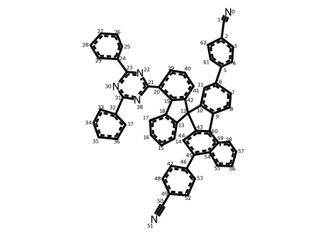 N#Cc1ccc(-c2ccc3c(c2)C2(c4ccccc4-c4c(-c5nc(-c6ccccc6)nc(-c6ccccc6)n5)cccc42)c2cc(-c4ccc(C#N)cc4)c4ccccc4c2-3)cc1